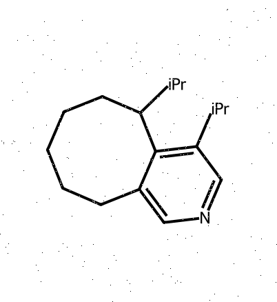 CC(C)c1cncc2c1C(C(C)C)CCCCC2